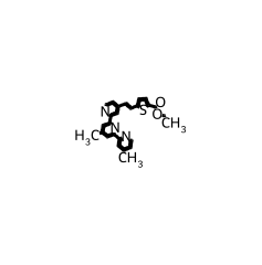 CCOC(=O)c1ccc(/C=C/c2ccnc(-c3cc(C)cc(-c4cc(C)ccn4)n3)c2)s1